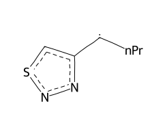 CCC[CH]c1csnn1